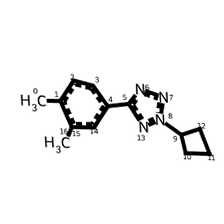 Cc1ccc(-c2nnn(C3CCC3)n2)cc1C